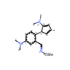 CON=Cc1cc(N(C)C)ccc1C1C=CC=C1N(C)C